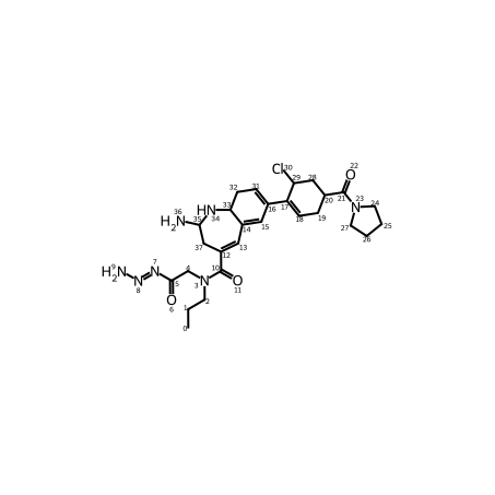 CCCN(CC(=O)N=NN)C(=O)C1=CC2=CC(C3=CCC(C(=O)N4CCCC4)CC3Cl)=CCC2NC(N)C1